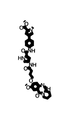 COC(=O)c1cc(-c2ccc(NC(=O)c3cc(NC(=O)CCCOc4cc5c(cc4OC)C(=O)N4CCCC[C@H]4C=N5)c[nH]3)cc2)cn1C